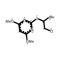 COc1cc(OC)nc(SC(CCl)C(C)(C)C)n1